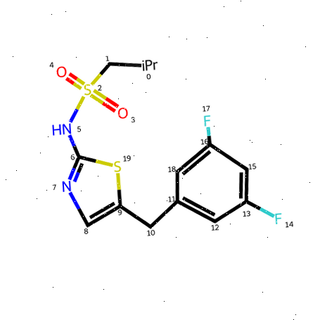 CC(C)CS(=O)(=O)Nc1ncc(Cc2cc(F)cc(F)c2)s1